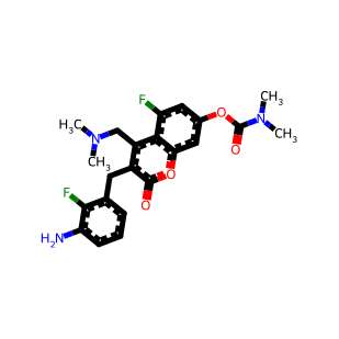 CN(C)Cc1c(Cc2cccc(N)c2F)c(=O)oc2cc(OC(=O)N(C)C)cc(F)c12